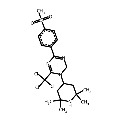 CC1(C)CC(N2CN=C(c3ccc(S(C)(=O)=O)cc3)N=C2C(Cl)(Cl)Cl)CC(C)(C)N1